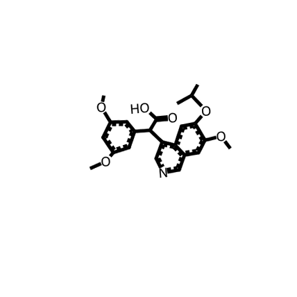 COc1cc(OC)cc(C(C(=O)O)c2cncc3cc(OC)c(OC(C)C)cc23)c1